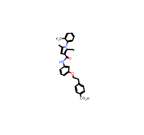 Cc1cc(C(=O)Nc2cccc(OCCc3ccc(C(=O)O)cc3)c2)c(C)n1-c1ccccc1C(F)(F)F